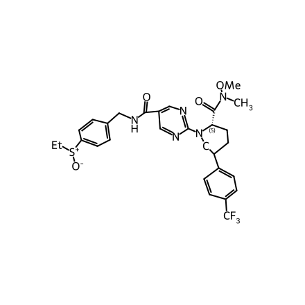 CC[S+]([O-])c1ccc(CNC(=O)c2cnc(N3CC(c4ccc(C(F)(F)F)cc4)CC[C@H]3C(=O)N(C)OC)nc2)cc1